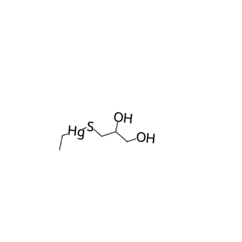 C[CH2][Hg][S]CC(O)CO